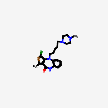 Cc1sc(Br)c2c1C(=O)Nc1ccccc1N2CCCCCN1CCN(C)CC1